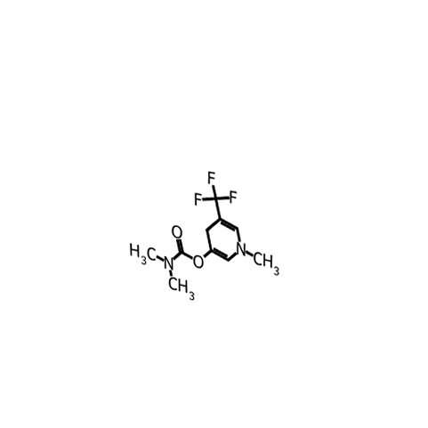 CN1C=C(OC(=O)N(C)C)CC(C(F)(F)F)=C1